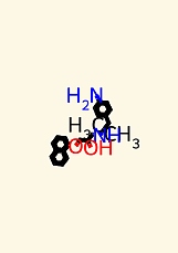 CC(C)(Cc1ccc(N)cc1)NCC(O)COc1cccc2ccccc12